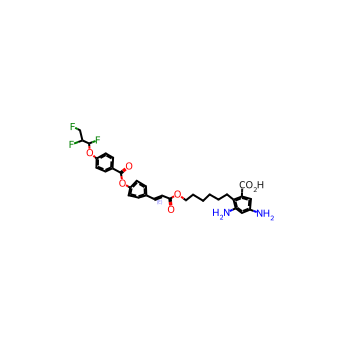 Nc1cc(N)c(CCCCCCOC(=O)/C=C/c2ccc(OC(=O)c3ccc(OC(F)C(F)CF)cc3)cc2)c(C(=O)O)c1